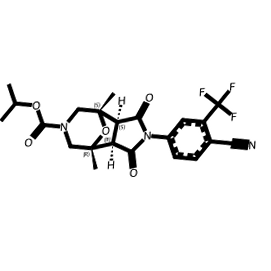 CC(C)OC(=O)N1C[C@@]2(C)O[C@@](C)(C1)[C@@H]1C(=O)N(c3ccc(C#N)c(C(F)(F)F)c3)C(=O)[C@@H]12